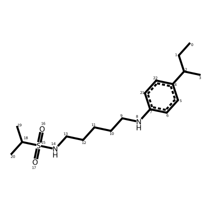 CCC(C)c1ccc(NCCCCCNS(=O)(=O)C(C)C)cc1